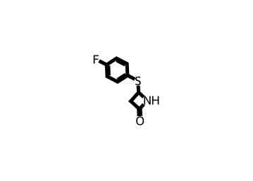 O=C1CC(Sc2ccc(F)cc2)N1